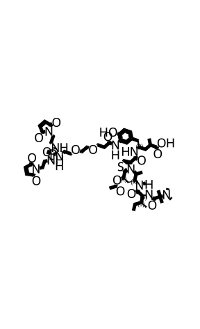 CC[C@H](C)[C@H](NC(=O)C(C)(C)N(C)C)C(=O)N(C)[C@H](C[C@@H](OC(C)=O)c1nc(C(=O)N[C@@H](Cc2ccc(O)c(NC(=O)CCOCCOCCNP(=O)(NCCN3C(=O)C=CC3=O)NCCN3C(=O)C=CC3=O)c2)CC(C)C(=O)O)cs1)C(C)C